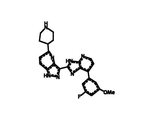 COc1cc(F)cc(-c2ccnc3[nH]c(-c4n[nH]c5ccc(C6CCNCC6)nc45)nc23)c1